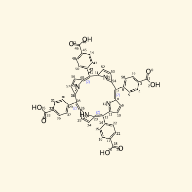 O=C(O)c1ccc(/C2=C3\C=CC(=N3)/C(c3ccc(C(=O)O)cc3)=c3/cc/c([nH]3)=C(\c3ccc(C(=O)O)cc3)C3=N/C(=C(/c4ccc(C(=O)O)cc4)C4C=CC2=N4)C=C3)cc1